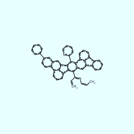 C=C/C(=N\C=C/C)c1c2cc3c4ccccc4c4cccc(c2c(-c2ccccn2)c2c5cc6cc(-c7ccccc7)ccc6c6cccc(c12)c65)c43